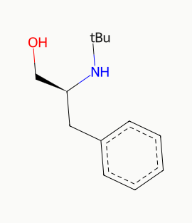 CC(C)(C)N[C@H](CO)Cc1ccccc1